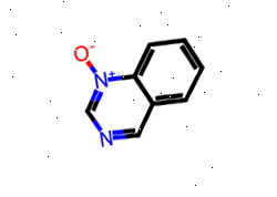 [O-][n+]1cncc2ccccc21